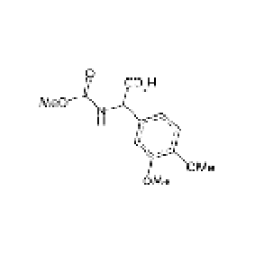 COC(=O)NC(C(=O)O)c1ccc(OC)c(OC)c1